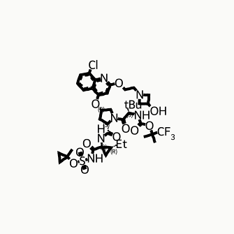 CC[C@@H]1C[C@]1(NC(=O)[C@@H]1C[C@@H](Oc2cc(OCCN3CC(O)C3)nc3c(Cl)cccc23)CN1C(=O)[C@@H](NC(=O)OC(C)(C)C(F)(F)F)C(C)(C)C)C(=O)NS(=O)(=O)OC1(C)CC1